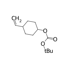 C=CC1CCC(OC(=O)OC(C)(C)C)CC1